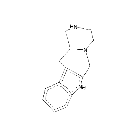 c1ccc2c3c([nH]c2c1)CN1CCNCC1C3